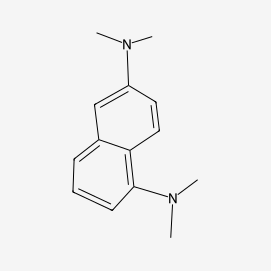 CN(C)c1ccc2c(N(C)C)cccc2c1